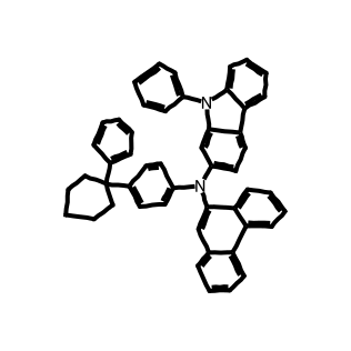 c1ccc(-n2c3ccccc3c3ccc(N(c4ccc(C5(c6ccccc6)CCCCC5)cc4)c4cc5ccccc5c5ccccc45)cc32)cc1